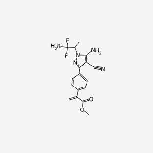 BC(F)(F)C(C)n1nc(-c2ccc(C(=C)C(=O)OC)cc2)c(C#N)c1N